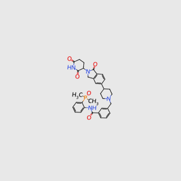 CP(C)(=O)c1ccccc1NC(=O)c1cccc(CN2CCC(c3ccc4c(c3)CN(C3CCC(=O)NC3=O)C4=O)CC2)c1